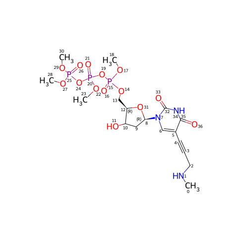 CNCC#Cc1cn([C@H]2CC(O)[C@@H](COP(=O)(OC)OP(=O)(OC)OP(=O)(OC)OC)O2)c(=O)[nH]c1=O